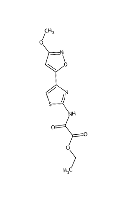 CCOC(=O)C(=O)Nc1nc(-c2cc(OC)no2)cs1